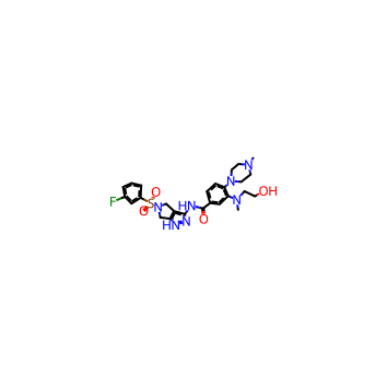 CN1CCN(c2ccc(C(=O)Nc3n[nH]c4c3CN(S(=O)(=O)c3cccc(F)c3)C4)cc2N(C)CCO)CC1